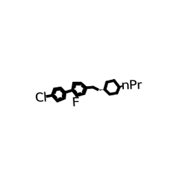 CCC[C@H]1CC[C@H](CCc2ccc(-c3ccc(Cl)cc3)c(F)c2)CC1